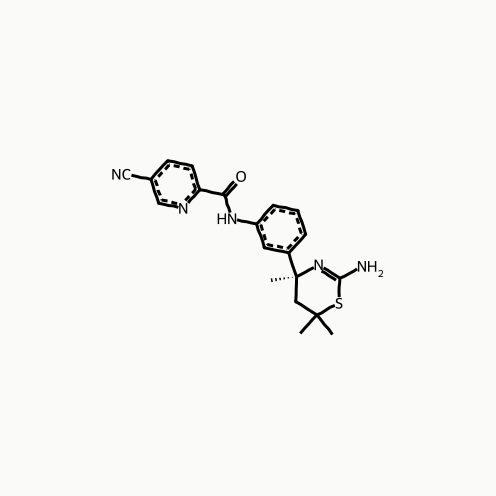 CC1(C)C[C@@](C)(c2cccc(NC(=O)c3ccc(C#N)cn3)c2)N=C(N)S1